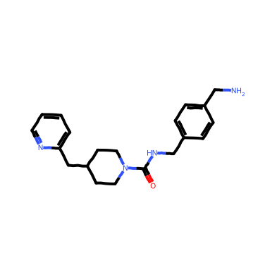 NCc1ccc(CNC(=O)N2CCC(Cc3ccccn3)CC2)cc1